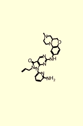 C=CCn1c(=O)c2cnc(Nc3ccc4c(c3)N3CCN(C)CC3CO4)nc2n1-c1cccc(N)n1